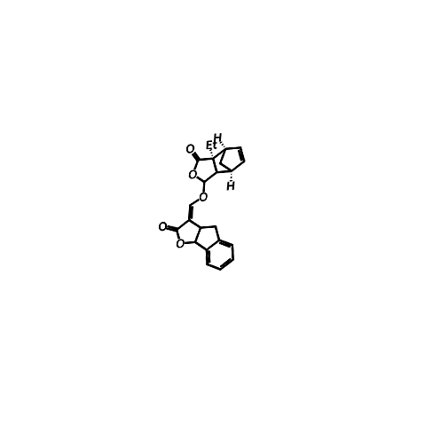 CC[C@@]12C(=O)OC(O/C=C3/C(=O)OC4c5ccccc5CC34)C1[C@@H]1C=C[C@H]2C1